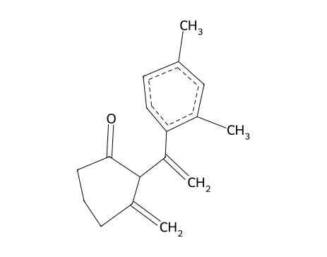 C=C1CCCC(=O)C1C(=C)c1ccc(C)cc1C